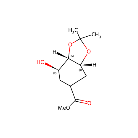 COC(=O)C1C[C@@H](O)[C@@H]2OC(C)(C)O[C@@H]2C1